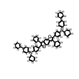 c1ccc(-c2ccc(N(c3ccccc3)c3ccc(-c4oc5cc6c(-c7ccccc7)c(-c7ccc(N(c8ccccc8)c8ccc(-c9ccccc9)cc8)cc7)oc6cc5c4-c4ccccc4)cc3)cc2)cc1